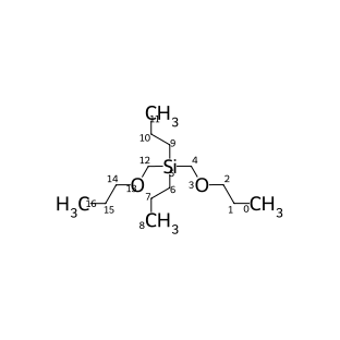 CCCOC[Si](CCC)(CCC)COCCC